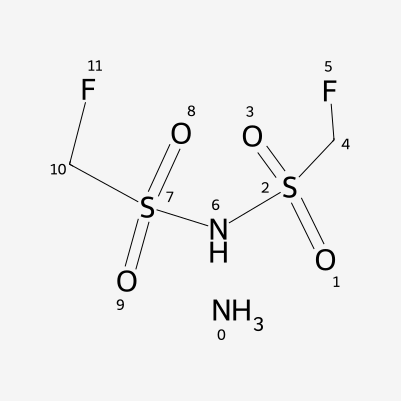 N.O=S(=O)(CF)NS(=O)(=O)CF